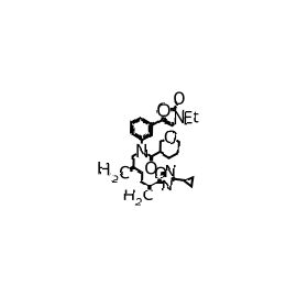 C=C(CCC(=C)c1nc(C2CC2)no1)CN(C(=O)C1CCCOC1)c1cccc(-c2cn(CC)c(=O)o2)c1